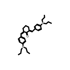 CCCN(CCC)c1ccc(/C=C2/CCC/C(=C\c3ccc(N(CCC)CCC)cc3)C2=O)cc1